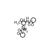 CC1(C)CC(NC(=O)N2CCCCCC2=O)CC(C)(CNC(=O)N2CCCCCC2=O)C1